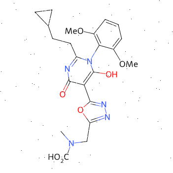 COc1cccc(OC)c1-n1c(CCC2CC2)nc(=O)c(-c2nnc(CN(C)C(=O)O)o2)c1O